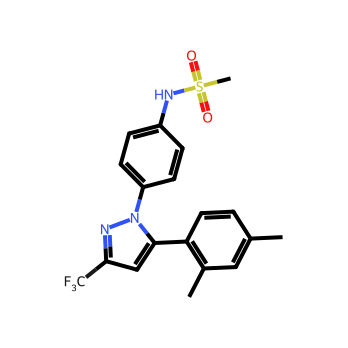 Cc1ccc(-c2cc(C(F)(F)F)nn2-c2ccc(NS(C)(=O)=O)cc2)c(C)c1